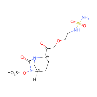 NS(=O)(=O)NCCOCC(=O)[C@@H]1CC[C@@H]2CN1C(=O)N2OS(=O)(=O)O